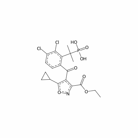 CCOC(=O)c1noc(C2CC2)c1C(=O)c1ccc(Cl)c(Cl)c1C(C)(C)P(=O)(O)O